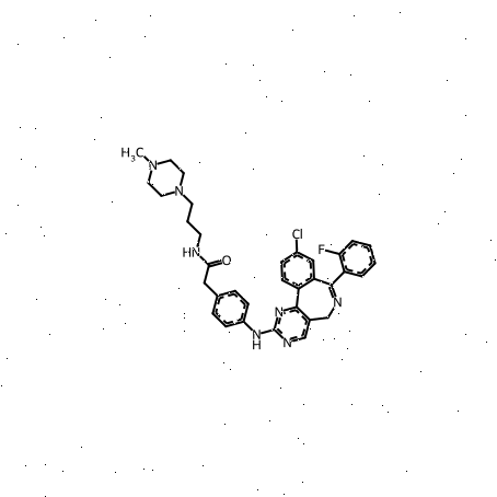 CN1CCN(CCCNC(=O)Cc2ccc(Nc3ncc4c(n3)-c3ccc(Cl)cc3C(c3ccccc3F)=NC4)cc2)CC1